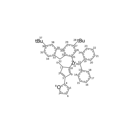 CC1C=C(c2ccco2)C=[C]1[Zr](=[C](c1ccccc1)c1ccccc1)[c]1cc(C(C)(C)C)cc2c1Cc1ccc(C(C)(C)C)cc1-2